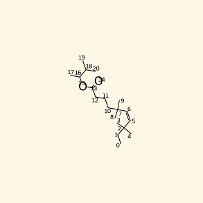 CCC(C)(C)/C=C\C(C)(C)CCCC(=O)OC(C)C(C)C